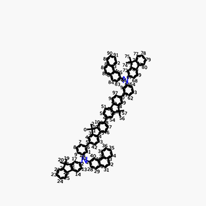 CC1(C)c2cc(-c3cccc(N(c4ccc5c(c4)C(C)(C)c4ccccc4-5)c4ccc5ccc6ccccc6c5c4)c3)ccc2-c2ccc(-c3ccc4c(c3)C(C)(C)c3cc(-c5cccc(N(c6ccc7c(c6)C(C)(C)c6ccccc6-7)c6ccc7ccc8ccccc8c7c6)c5)ccc3-4)cc21